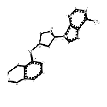 Cc1ncnc2c1ccn2C1CC(Oc2cccc3c2CCNC3)CO1